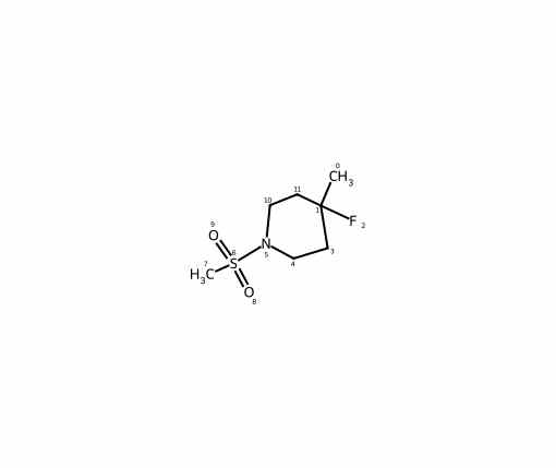 CC1(F)CCN(S(C)(=O)=O)CC1